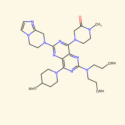 COCCN(CCOC)c1nc(N2CCC(OC)CC2)c2nc(N3CCn4ccnc4C3)nc(N3CCN(C)C(=O)C3)c2n1